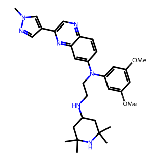 COc1cc(OC)cc(N(CCNC2CC(C)(C)NC(C)(C)C2)c2ccc3ncc(-c4cnn(C)c4)nc3c2)c1